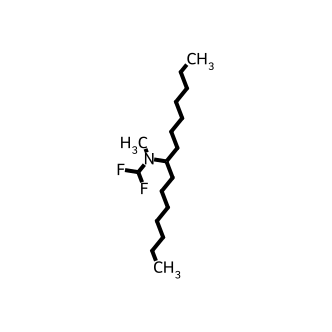 CCCCCCCC(CCCCCCC)N(C)C(F)F